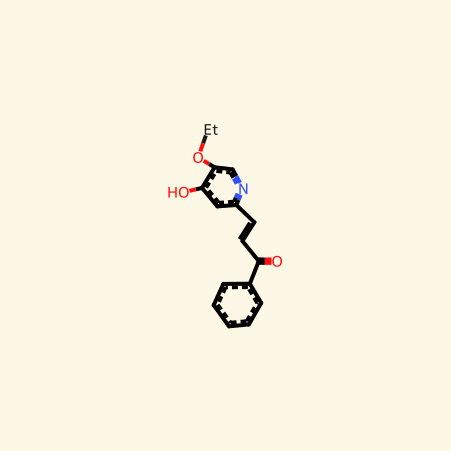 CCOc1cnc(C=CC(=O)c2ccccc2)cc1O